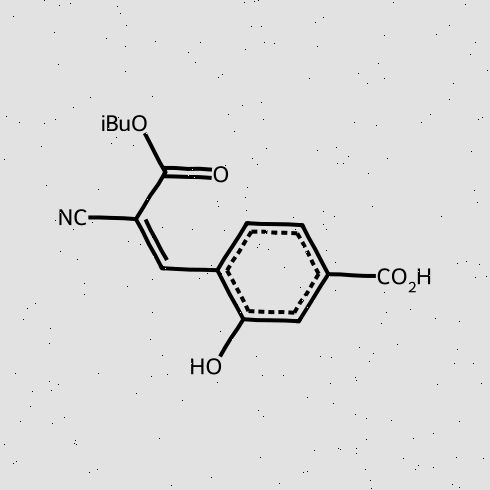 CC(C)COC(=O)C(C#N)=Cc1ccc(C(=O)O)cc1O